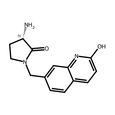 N[C@H]1CCN(Cc2ccc3ccc(O)nc3c2)C1=O